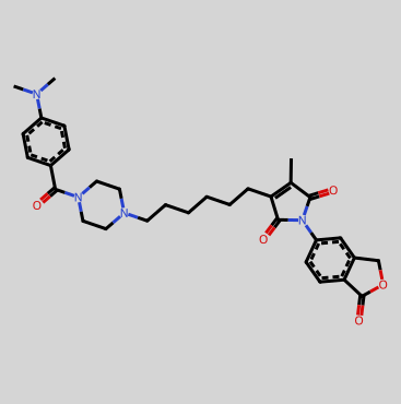 CC1=C(CCCCCCN2CCN(C(=O)c3ccc(N(C)C)cc3)CC2)C(=O)N(c2ccc3c(c2)COC3=O)C1=O